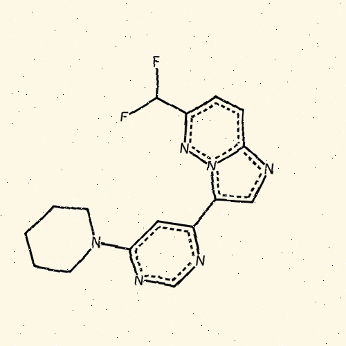 FC(F)c1ccc2ncc(-c3cc(N4CCCCC4)ncn3)n2n1